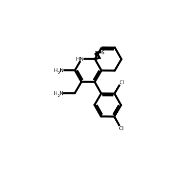 NCC1=C(N)NC23C=CSC2=CCCC3=C1c1ccc(Cl)cc1Cl